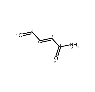 NC(=O)C=C[C]=O